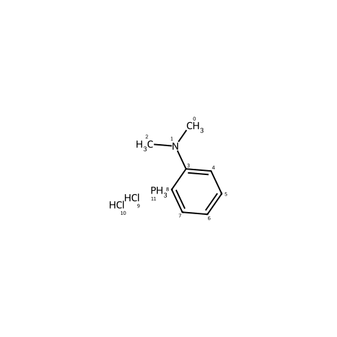 CN(C)c1ccccc1.Cl.Cl.P